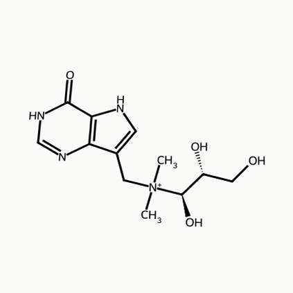 C[N+](C)(Cc1c[nH]c2c(=O)[nH]cnc12)[C@H](O)[C@H](O)CO